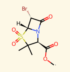 [CH2]OC(=O)[C@@H]1N2C(=O)[C@@H](Br)[C@H]2S(=O)(=O)C1(C)C